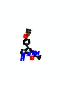 CCSOc1ccc(-c2cc(NC(=O)C3CC3)nc3[nH]ccc23)cc1